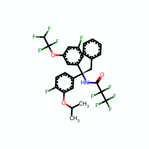 CC(C)Oc1cc([C@@](Cc2ccccc2)(NC(=O)C(F)(F)C(F)(F)F)c2cc(F)cc(OC(F)(F)C(F)F)c2)ccc1F